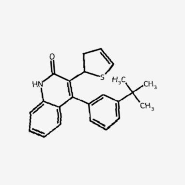 CC(C)(C)c1cccc(-c2c(C3CC=CS3)c(=O)[nH]c3ccccc23)c1